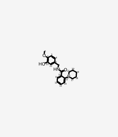 COc1ccc(CNC(=O)c2ccccc2N2CCCCC2)cc1O